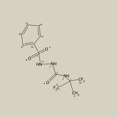 CC(NC(=O)NNS(=O)(=O)c1ccccc1)(C(F)(F)F)C(F)(F)F